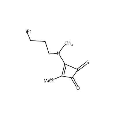 CNc1c(N(C)CCCC(C)C)c(=S)c1=O